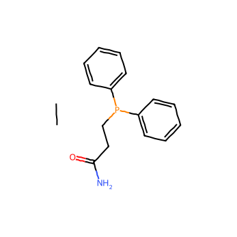 CC.NC(=O)CCP(c1ccccc1)c1ccccc1